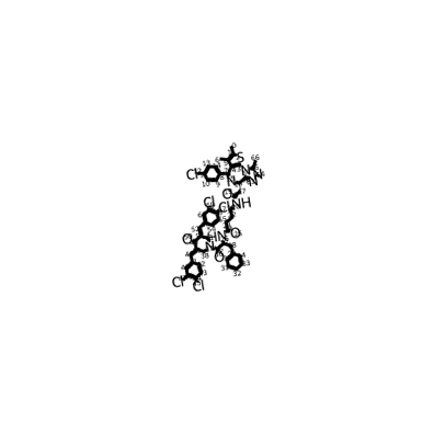 Cc1sc2c(c1C)C(c1ccc(Cl)cc1)=N[C@@H](CC(=O)NCCCC(=O)NC(Cc1ccccc1)C(=O)N1C/C(=C\c3ccc(Cl)c(Cl)c3)C(=O)/C(=C/c3ccc(Cl)c(Cl)c3)C1)c1nnc(C)n1-2